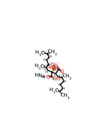 CC(C)CCCC(C)CC(C(=O)O)C(CC(C)CCCC(C)C)(C(=O)O)S(=O)(=O)O.[NaH]